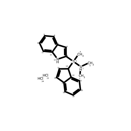 C[SiH](C)[Ti]([CH3])([c]1cc2ccccc2[nH]1)[CH]1C=Cc2ccccc21.Cl.Cl